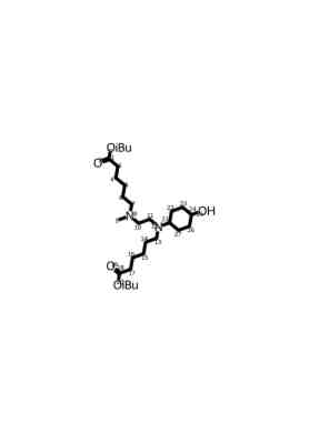 CC(C)COC(=O)CCCCCN(C)CCN(CCCCCC(=O)OCC(C)C)C1CCC(O)CC1